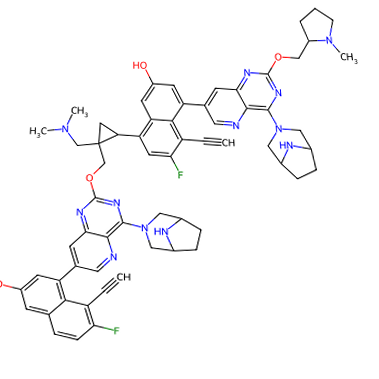 C#Cc1c(F)ccc2cc(O)cc(-c3cnc4c(N5CC6CCC(C5)N6)nc(OCC5(CN(C)C)CC5c5cc(F)c(C#C)c6c(-c7cnc8c(N9CC%10CCC(C9)N%10)nc(OCC9CCCN9C)nc8c7)cc(O)cc56)nc4c3)c12